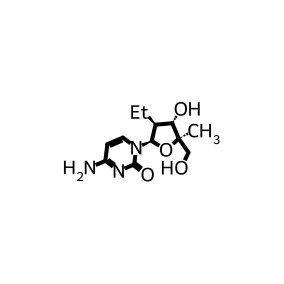 CC[C@@H]1[C@H](n2ccc(N)nc2=O)O[C@](C)(CO)[C@H]1O